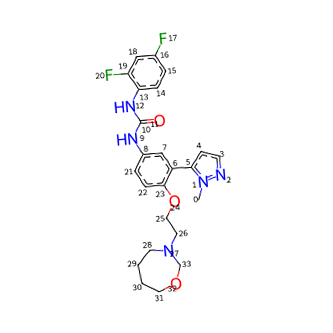 Cn1nccc1-c1cc(NC(=O)Nc2ccc(F)cc2F)ccc1OCCN1CCCCOC1